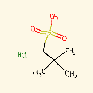 CC(C)(C)CS(=O)(=O)O.Cl